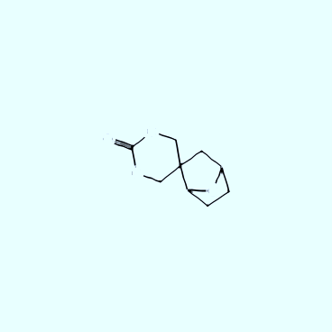 O=C1OCC2(CO1)CC1CCC2O1